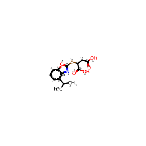 CC(C)c1cccc2oc(SC(CC(=O)O)C(=O)O)nc12